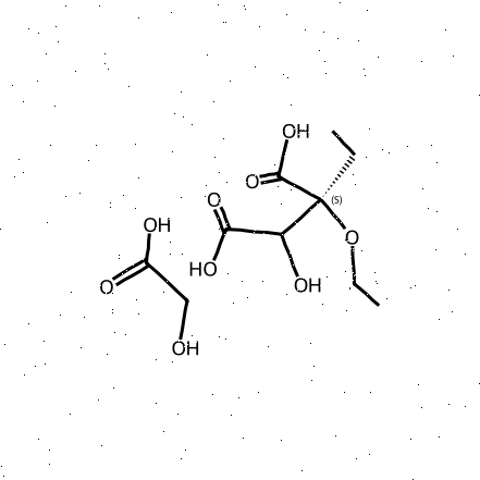 CCO[C@](CC)(C(=O)O)C(O)C(=O)O.O=C(O)CO